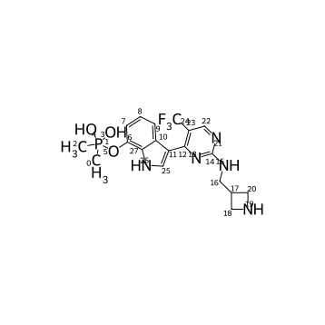 CP(C)(O)(O)Oc1cccc2c(-c3nc(NCC4CNC4)ncc3C(F)(F)F)c[nH]c12